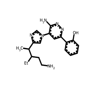 CCC(CCN)C(C)c1cn(-c2cc(-c3ccccc3O)nnc2N)cn1